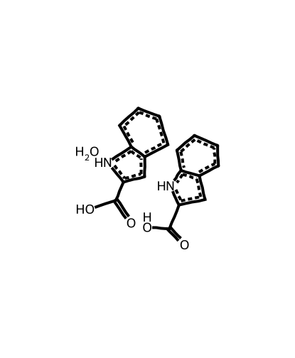 O.O=C(O)c1cc2ccccc2[nH]1.O=C(O)c1cc2ccccc2[nH]1